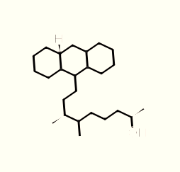 CC(CCC[C@@H](C)O)[C@@H](C)CCC1C2CCCCC2C[C@H]2CCCCC12